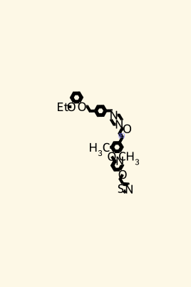 CCOc1ccccc1OCCc1ccc(CN2CCN(C(=O)/C=C/c3cc(C)c(Oc4ccc(OCc5cncs5)cn4)c(C)c3)CC2)cc1